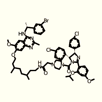 COc1ccc(C2=N[C@@H](c3ccc(Cl)cc3)[C@@H](c3ccc(Cl)cc3)N2C(=O)N2CCN(CC(=O)NCCC(C)CCC(C)CCOc3cc4nc(C)nc(N[C@H](C)c5cccc(Br)c5)c4cc3OC)CC2)c(OC(C)C)c1